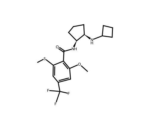 COc1cc(C(F)(F)F)cc(SC)c1C(=O)N[C@H]1CCC[C@H]1NC1CCC1